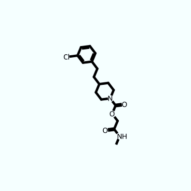 CNC(=O)COC(=O)N1CCC(CCc2cccc(Cl)c2)CC1